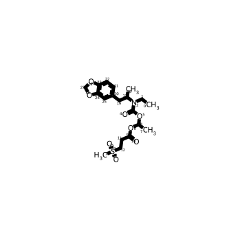 CCN(C(=O)OC(C)OC(=O)CCS(C)(=O)=O)C(C)Cc1ccc2c(c1)OCO2